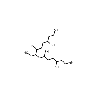 OCC(CC(S)CCC(S)CCS)C(S)CCC(S)CCS